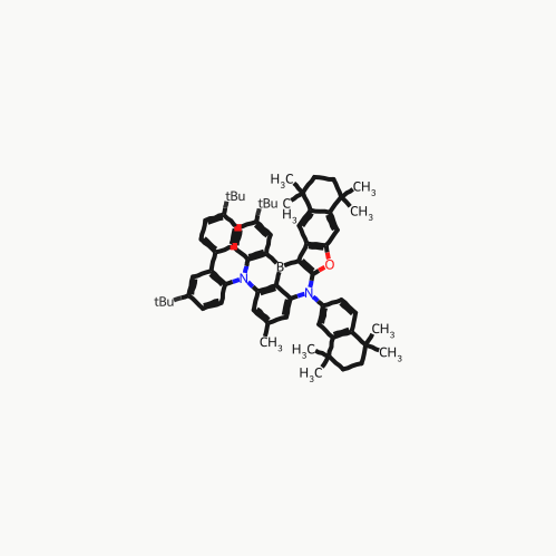 Cc1cc2c3c(c1)N(c1ccc4c(c1)C(C)(C)CCC4(C)C)c1oc4cc5c(cc4c1B3c1cc(C(C)(C)C)ccc1N2c1ccc(C(C)(C)C)cc1-c1ccc(C(C)(C)C)cc1)C(C)(C)CCC5(C)C